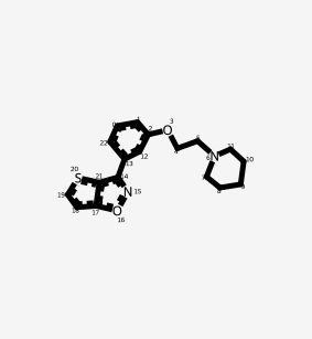 c1cc(OCCN2CCCCC2)cc(-c2noc3ccsc23)c1